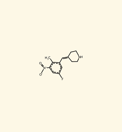 Cc1c(C=C2CCNCC2)cc(F)cc1[N+](=O)[O-]